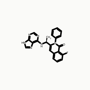 C[C@H](Nc1ncnc2[nH]cnc12)c1cc2cccc(F)c2c(=O)n1-c1ccccc1